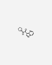 O=C(NN1CCCC1)c1cnn2cccnc12